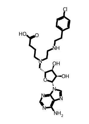 Nc1ncnc2c1ncn2[C@@H]1O[C@H](CN(CCCC(=O)O)CCNCCc2ccc(Cl)cc2)[C@@H](O)[C@H]1O